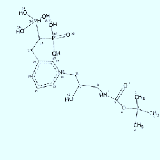 CC(C)(C)OC(=O)NCC(O)C[n+]1cccc(CC(P(=O)(O)O)[PH](O)(O)O)c1